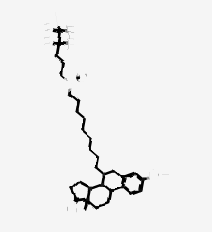 CC12CCC3c4ccc(O)cc4CC(CCCCCCCCC[S+]([O-])CCCC(F)(F)C(F)(F)F)C3C1CCC2=O